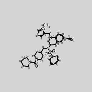 Cn1cncc1CN1CC(N(CC2CCN(C(=O)N3CCCCC3)CC2)S(=O)(=O)c2ccccn2)Cc2cc(C#N)ccc21